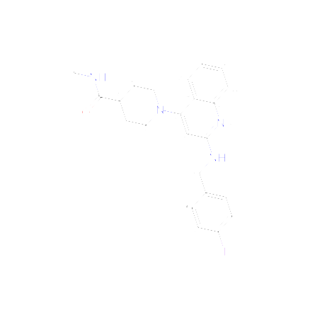 CNC(=O)C1CCN(c2cc(NCc3ccc(I)cc3)nc3ccccc23)CC1